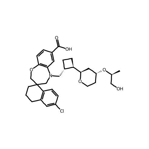 C[C@@H](CO)O[C@@H]1CCO[C@@H]([C@@H]2CC[C@H]2CN2CC3(CCCc4cc(Cl)ccc43)COc3ccc(C(=O)O)cc32)C1